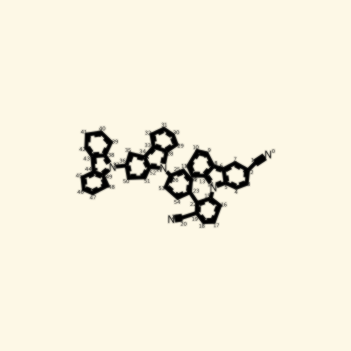 N#Cc1ccc2c(c1)c1ccccc1n2-c1cccc(C#N)c1-c1ccc(-n2c3ccccc3c3cc(-n4c5ccccc5c5ccccc54)ccc32)cc1